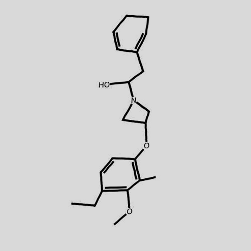 CCc1ccc(OC2CN(C(O)CC3=CCCC=C3)C2)c(C)c1OC